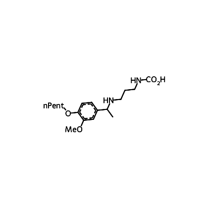 CCCCCOc1ccc(C(C)NCCCNC(=O)O)cc1OC